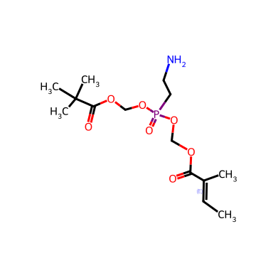 C/C=C(\C)C(=O)OCOP(=O)(CCN)OCOC(=O)C(C)(C)C